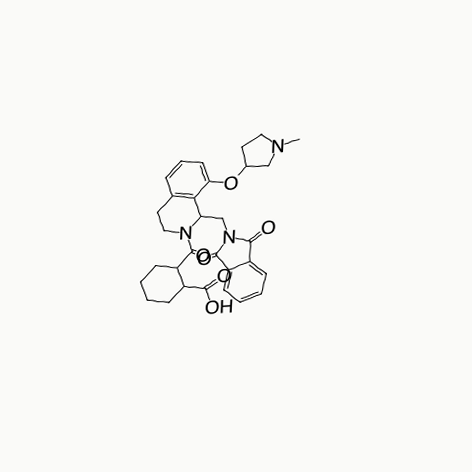 CN1CCC(Oc2cccc3c2C(CN2C(=O)c4ccccc4C2=O)N(C(=O)C2CCCCC2C(=O)O)CC3)C1